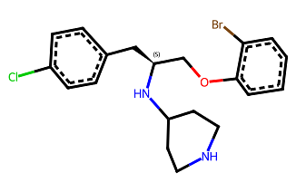 Clc1ccc(C[C@@H](COc2ccccc2Br)NC2CCNCC2)cc1